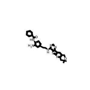 CC1(C)Cc2nc3sc4c(NCCc5ccc(NC(=O)c6ccccc6)c(N)c5)ncnc4c3cc2CO1